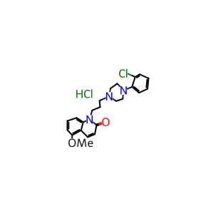 COc1cccc2c1ccc(=O)n2CCCN1CCN(c2ccccc2Cl)CC1.Cl